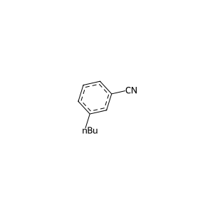 [CH2]CCCc1cccc(C#N)c1